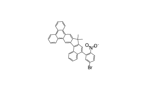 CC1(C)c2cc3c4ccccc4c4ccccc4c3cc2-c2c1cc(-c1cc(Br)ccc1[N+](=O)[O-])c1ccccc21